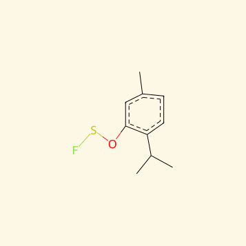 Cc1ccc(C(C)C)c(OSF)c1